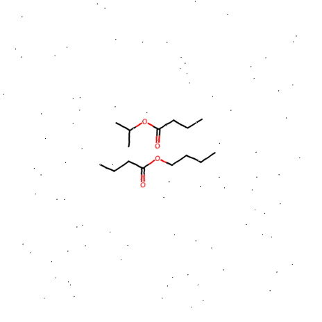 CCCC(=O)OC(C)C.CCCCOC(=O)CCC